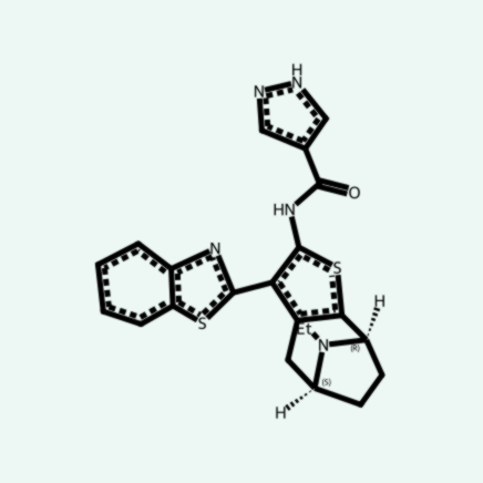 CCN1[C@H]2CC[C@@H]1c1sc(NC(=O)c3cn[nH]c3)c(-c3nc4ccccc4s3)c1C2